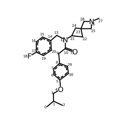 CC(C)COc1ccc(CC(=O)N(Cc2ccc(F)cc2)C2CC3(C2)CN(C)C3)cc1